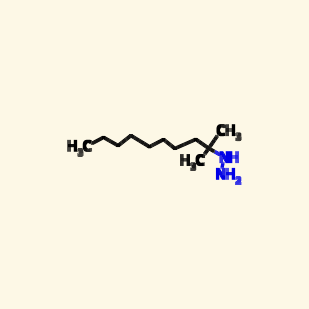 CCCCCCCCC(C)(C)NN